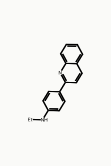 CCNc1ccc(-c2ccc3ccccc3n2)cc1